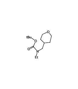 CCN(CC1CCOCC1)C(=O)OC(C)(C)C